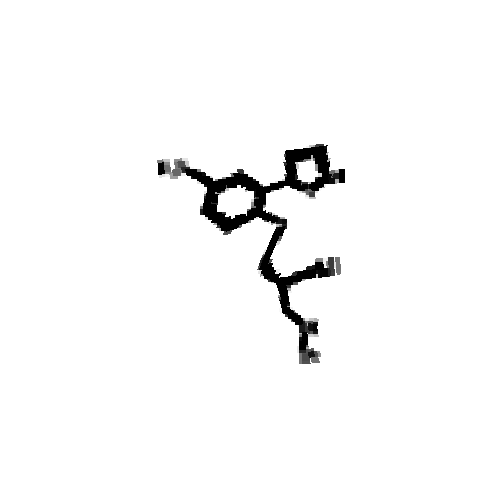 CC(C)NCC(O)COc1ccc(N)cc1-c1cc[nH]n1